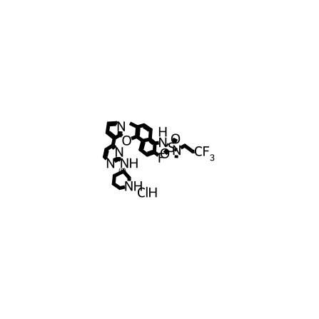 Cc1ccc2c(NS(=O)(=O)N(C)CCC(F)(F)F)c(F)ccc2c1Oc1ncccc1-c1ccnc(N[C@H]2CCCNC2)n1.Cl